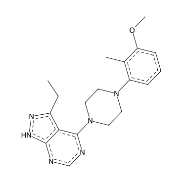 CCc1n[nH]c2ncnc(N3CCN(c4cccc(OC)c4C)CC3)c12